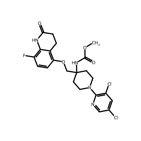 COC(=O)NC1(COc2ccc(F)c3c2CCC(=O)N3)CCN(c2ncc(Cl)cc2Cl)CC1